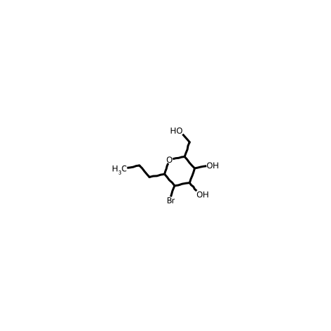 CCCC1OC(CO)C(O)C(O)C1Br